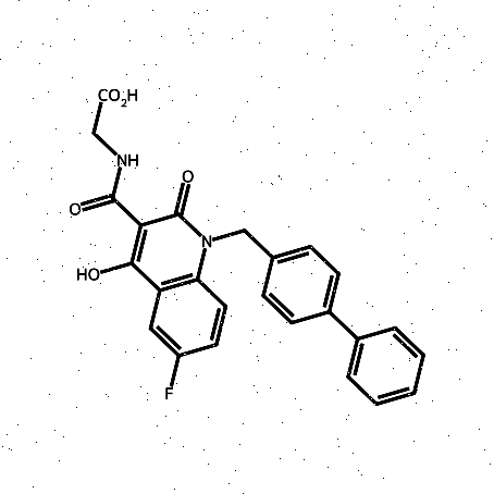 O=C(O)CNC(=O)c1c(O)c2cc(F)ccc2n(Cc2ccc(-c3ccccc3)cc2)c1=O